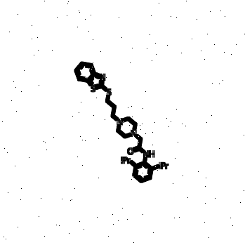 CC(C)c1cccc(C(C)C)c1NC(=O)CN1CCN(CCCSc2nc3ccccc3s2)CC1